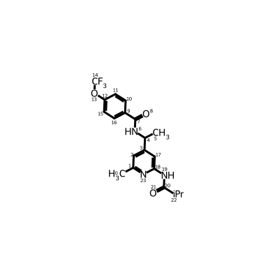 Cc1cc(C(C)NC(=O)c2ccc(OC(F)(F)F)cc2)cc(NC(=O)C(C)C)n1